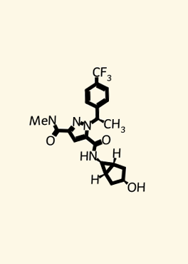 CNC(=O)c1cc(C(=O)N[C@H]2[C@@H]3C[C@@H](O)C[C@@H]32)n([C@H](C)c2ccc(C(F)(F)F)cc2)n1